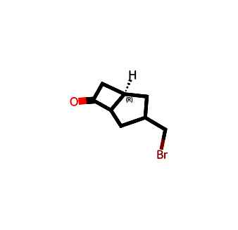 O=C1C[C@H]2CC(CBr)CC12